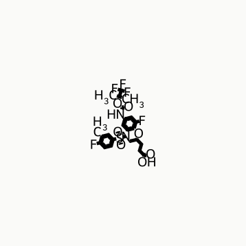 Cc1cc(S(=O)(=O)N2CC(CCC(=O)O)Oc3c(F)cc(NC(=O)OC(C)(C)C(F)(F)F)cc32)ccc1F